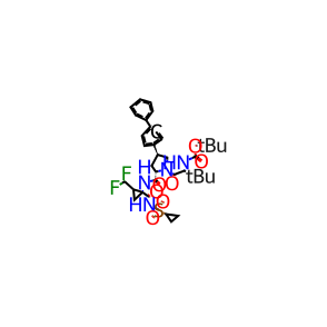 CC(C)(C)OC(=O)N[C@H](C(=O)N1C[C@H](c2ccc(-c3ccccc3)cc2)C[C@H]1C(=O)N[C@]1(C(=O)NS(=O)(=O)C2CC2)CC1C(F)F)C(C)(C)C